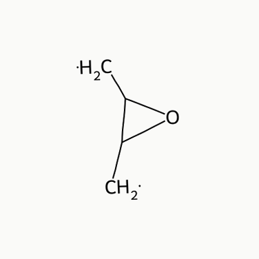 [CH2]C1OC1[CH2]